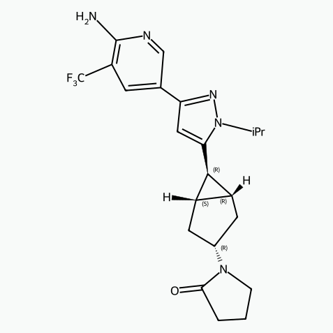 CC(C)n1nc(-c2cnc(N)c(C(F)(F)F)c2)cc1[C@H]1[C@@H]2C[C@H](N3CCCC3=O)C[C@@H]21